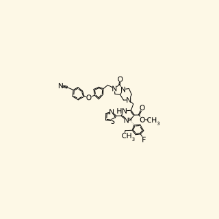 CCc1cc(F)ccc1[C@@H]1N=C(c2nccs2)NC(CN2CCN3C(=O)N(Cc4ccc(Oc5ccc(C#N)cc5)cc4)CC3C2)=C1C(=O)OC